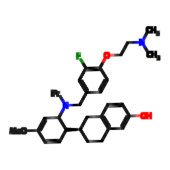 COC1=CC(N(Cc2ccc(OCCN(C)C)c(F)c2)C(C)C)C([C@@H]2CCc3cc(O)ccc3C2)C=C1